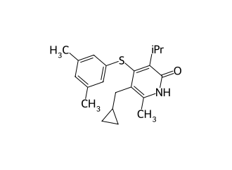 Cc1cc(C)cc(Sc2c(CC3CC3)c(C)[nH]c(=O)c2C(C)C)c1